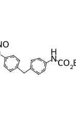 CCOC(=O)Nc1ccc(Cc2ccc(ON=O)cc2)cc1